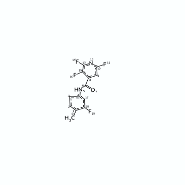 Cc1ccc(NC(=O)c2cc(F)nc(F)c2F)cc1F